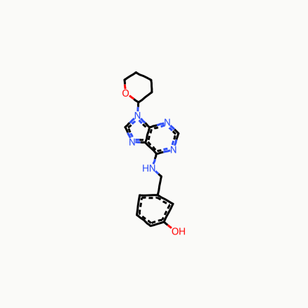 Oc1cccc(CNc2ncnc3c2ncn3C2CCCCO2)c1